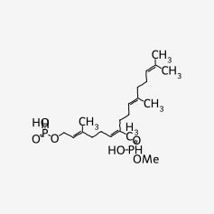 CC(C)=CCC/C(C)=C/CC/C(C)=C\CC/C(C)=C/CO[PH](=O)O.CO[PH](=O)O